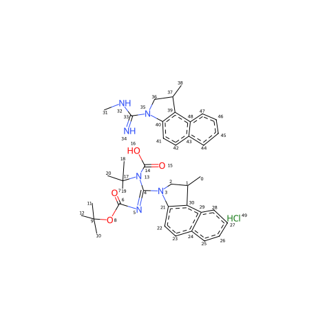 CC1CN(C(=NC(=O)OC(C)(C)C)N(C(=O)O)C(C)(C)C)c2ccc3ccccc3c21.CNC(=N)N1CC(C)c2c1ccc1ccccc21.Cl